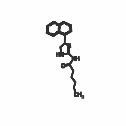 CCCCCC(=O)NC1=NC(c2cccc3ccccc23)CN1